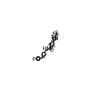 C[C@@H]1CN(c2cnc(C(F)(F)F)nc2)C[C@H](C)N1C(=O)NCCC1CCN(Cc2ccc(F)cc2)CC1